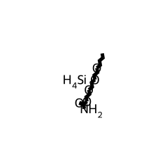 CCCCOCCOCCOCCOC(N)=O.[SiH4]